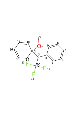 COC1(C(c2ccccc2)C(F)(F)F)[CH]C=CC=C1